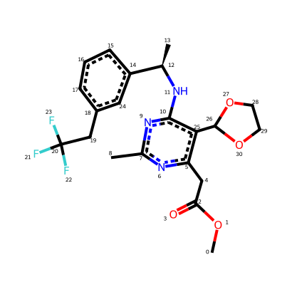 COC(=O)Cc1nc(C)nc(N[C@H](C)c2cccc(CC(F)(F)F)c2)c1C1OCCO1